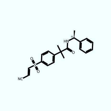 C[C@H](NC(=O)C(C)(C)c1ccc(S(=O)(=O)C=CC#N)cc1)c1ccccc1